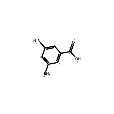 Bc1cc(B)cc(C(=O)O)c1